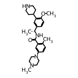 COc1ccc([C@@H](C)NC(=O)c2cc(N3CCN(C)CC3)ccc2C)cc1C1CCNCC1